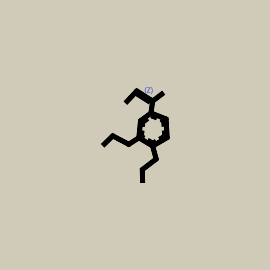 C/C=C(/C)c1ccc(CCC)c(CCC)c1